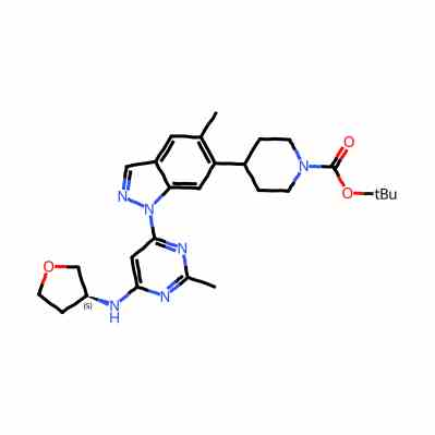 Cc1nc(N[C@H]2CCOC2)cc(-n2ncc3cc(C)c(C4CCN(C(=O)OC(C)(C)C)CC4)cc32)n1